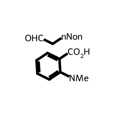 CCCCCCCCCCC=O.CNc1ccccc1C(=O)O